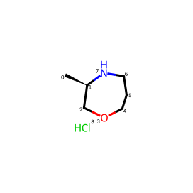 C[C@@H]1COCCCN1.Cl